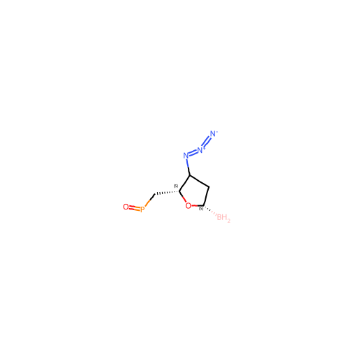 B[C@H]1CC(N=[N+]=[N-])[C@@H](CP=O)O1